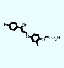 Cc1cc(OCC=C(Br)c2ccc(F)cc2)ccc1OCC(=O)O